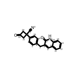 N#CC1(c2ccc(Cc3cc4ccccc4[nH]c3=O)cc2)CC(=O)C1